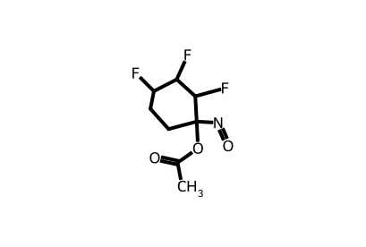 CC(=O)OC1(N=O)CCC(F)C(F)C1F